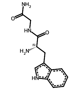 NC(=O)CNC(=O)[C@@H](N)Cc1c[nH]c2ccccc12